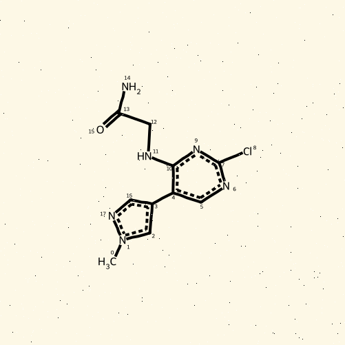 Cn1cc(-c2cnc(Cl)nc2NCC(N)=O)cn1